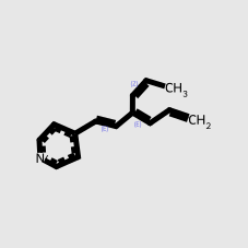 C=C/C=C(\C=C/C)/C=C/c1ccncc1